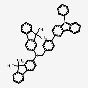 CC1(C)c2ccccc2-c2ccc(N(Cc3ccc(-c4ccc5c(c4)c4ccccc4n5-c4ccccc4)cc3)c3ccc4c(c3)C(C)(C)c3ccccc3-4)cc21